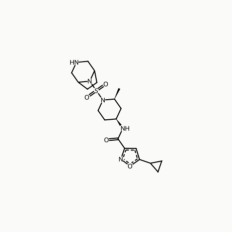 C[C@H]1C[C@@H](NC(=O)c2cc(C3CC3)on2)CCN1S(=O)(=O)N1C2CCC1CNC2